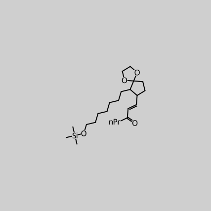 CCCC(=O)C=CC1CCC2(OCCO2)C1CCCCCCCO[Si](C)(C)C